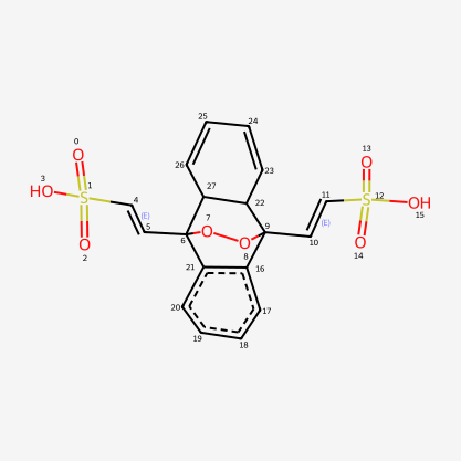 O=S(=O)(O)/C=C/C12OOC(/C=C/S(=O)(=O)O)(c3ccccc31)C1C=CC=CC12